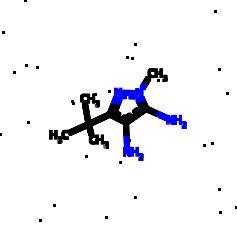 Cn1nc(C(C)(C)C)c(N)c1N